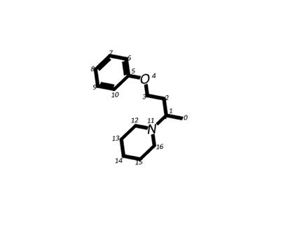 C[C](CCOc1ccccc1)N1CCCCC1